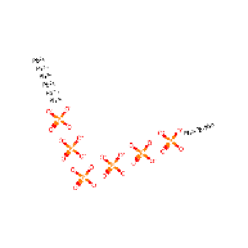 O=P([O-])([O-])[O-].O=P([O-])([O-])[O-].O=P([O-])([O-])[O-].O=P([O-])([O-])[O-].O=P([O-])([O-])[O-].O=P([O-])([O-])[O-].[Pb+2].[Pb+2].[Pb+2].[Pb+2].[Pb+2].[Pb+2].[Pb+2].[Pb+2].[Pb+2]